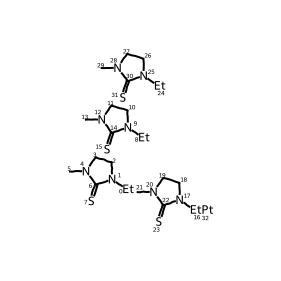 CCN1CCN(C)C1=S.CCN1CCN(C)C1=S.CCN1CCN(C)C1=S.CCN1CCN(C)C1=S.[Pt]